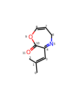 CC(C)=CC1=NCC=COC1=O